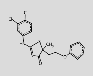 CC1(CCOc2ccccc2)SC(Nc2ccc(Cl)c(Cl)c2)=NC1=O